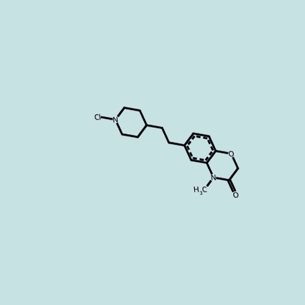 CN1C(=O)COc2ccc(CCC3CCN(Cl)CC3)cc21